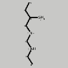 CCNCNCC([SiH3])CC